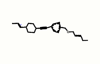 C/C=C/C1CCC(C#Cc2ccc(COCC=CCC)cc2)CC1